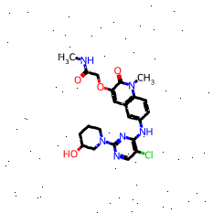 CNC(=O)COc1cc2cc(Nc3nc(N4CCCC(O)C4)ncc3Cl)ccc2n(C)c1=O